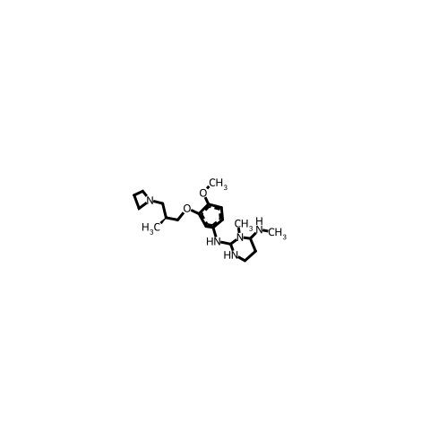 CNC1CCNC(Nc2ccc(OC)c(OC[C@@H](C)CN3CCC3)c2)N1C